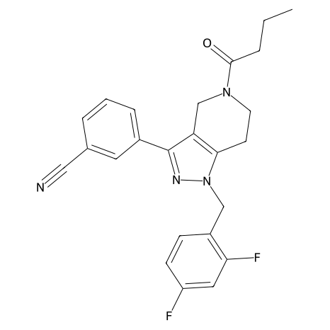 CCCC(=O)N1CCc2c(c(-c3cccc(C#N)c3)nn2Cc2ccc(F)cc2F)C1